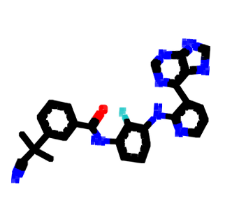 CC(C)(C#N)c1cccc(C(=O)Nc2cccc(Nc3ncccc3-c3ncnc4[nH]cnc34)c2F)c1